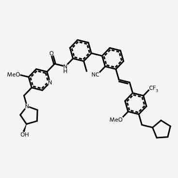 COc1cc(/C=C/c2cccc(-c3cccc(NC(=O)c4cc(OC)c(CN5CC[C@@H](O)C5)cn4)c3C)c2C#N)c(C(F)(F)F)cc1CC1CCCC1